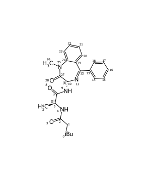 CCC(C)CC(=O)N[C@@H](C)C(=O)N[C@H]1N=C(c2ccccc2)c2ccccc2N(C)C1=O